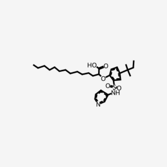 CCCCCCCCCCCCC(Oc1ccc(C(C)(C)CC)cc1S(=O)(=O)Nc1cccnc1)C(=O)O